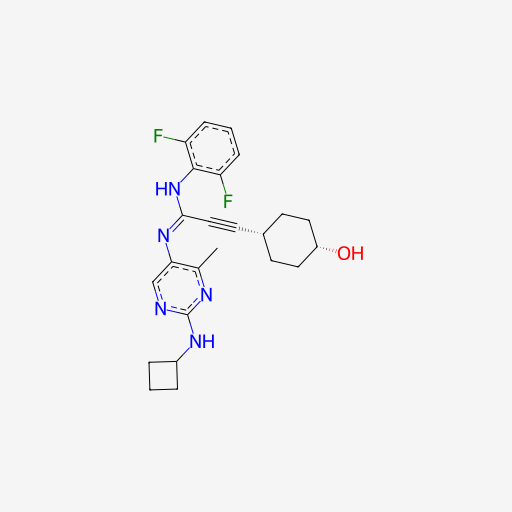 Cc1nc(NC2CCC2)ncc1/N=C(\C#C[C@H]1CC[C@@H](O)CC1)Nc1c(F)cccc1F